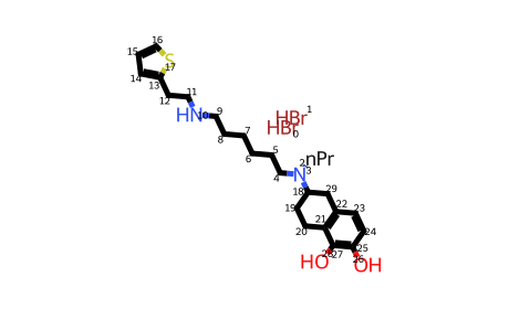 Br.Br.CCCN(CCCCCCNCCc1cccs1)C1CCc2c(ccc(O)c2O)C1